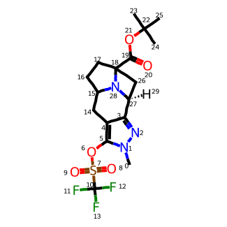 Cn1nc2c(c1OS(=O)(=O)C(F)(F)F)CC1CCC3(C(=O)OC(C)(C)C)C[C@@H]2N13